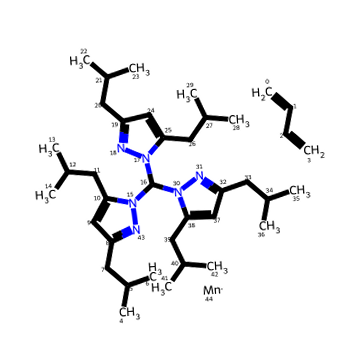 C=CC=C.CC(C)Cc1cc(CC(C)C)n(C(n2nc(CC(C)C)cc2CC(C)C)n2nc(CC(C)C)cc2CC(C)C)n1.[Mn]